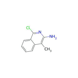 Cc1c(N)nc(Cl)c2ccccc12